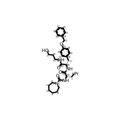 CC(C)C[C@H](NC(=O)N1CCCCCC1)C(=O)N[C@@H](Cc1ccc(OCc2ccccc2)cc1)C(=O)NCCCO